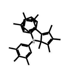 CC1=C(C)C(C)([SiH](c2cc(C)c(C)c(C)c2)c2cc(C)c(C)c(C)c2)C(c2ccccc2)=C1C